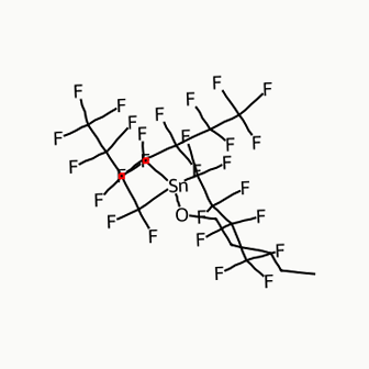 CCCCC[O][Sn]([C](F)(F)C(F)(F)C(F)(F)C(F)(F)F)([C](F)(F)C(F)(F)C(F)(F)C(F)(F)F)[C](F)(F)C(F)(F)C(F)(F)C(F)(F)F